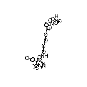 Cc1sc2c(c1C)C(c1ccc(Cl)cc1)=N[C@@H](CC(=O)NCOCCOCCOCCOCCN1CCC3c4c(cccc41)C(=O)N3C1CCC(=O)NC1=O)c1nnc(C)n1-2